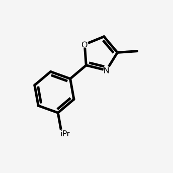 Cc1coc(-c2cccc(C(C)C)c2)n1